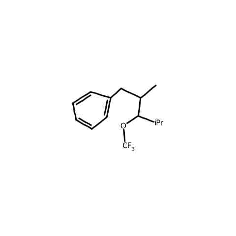 CC(C)C(OC(F)(F)F)C(C)Cc1ccccc1